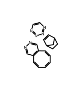 C1=CC2CCC1C2.C1=CC=Cc2cnncc2C=C1.c1cnnnn1